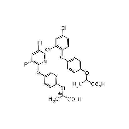 CC(Oc1ccc(Oc2ccc(Cl)cc2Cl)cc1)C(=O)O.C[C@@H](Oc1ccc(Oc2ncc(Cl)cc2F)cc1)C(=O)O